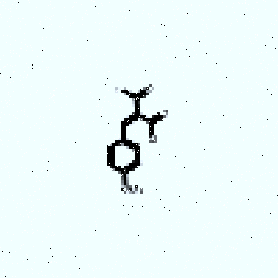 COc1ccc(C=C(C(=O)Cl)C(=O)Cl)cc1